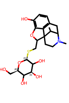 CC1C2Cc3ccc(O)c4c3C1(CCN2C)C(CS[C@@H]1O[C@H](CO)C(O)[C@H](O)C1O)O4